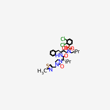 Cc1nc(CN2CCN([C@H](C(=O)N[C@@H](Cc3ccccc3)[C@H](O)CN(CC(C)C)S(=O)(=O)c3cccc(Cl)c3Cl)C(C)C)C2=O)cs1